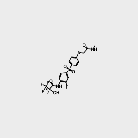 CNC(=O)CSc1ccc(S(=O)(=O)c2ccc(NC(=O)[C@@](C)(O)C(F)(F)F)c(F)c2)cc1